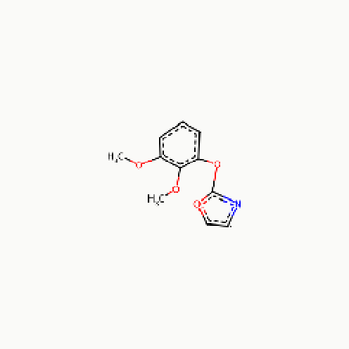 COc1cccc(Oc2n[c]co2)c1OC